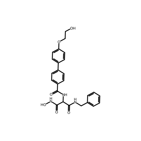 O=C(NC(C(=O)NO)C(=O)NCc1ccccc1)c1ccc(-c2ccc(OCCO)cc2)cc1